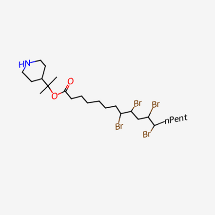 CCCCCC(Br)C(Br)CC(Br)C(Br)CCCCCCC(=O)OC(C)(C)C1CCNCC1